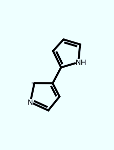 [C]1N=CC=C1c1ccc[nH]1